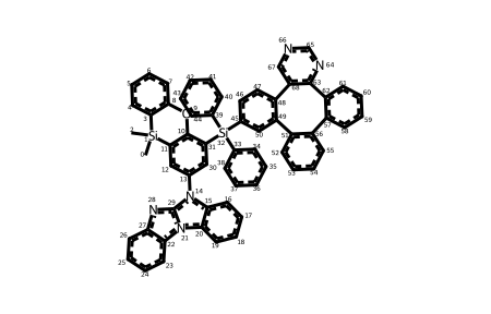 C[Si]1(C)c2ccccc2Oc2c1cc(-n1c3ccccc3n3c4ccccc4nc13)cc2[Si](c1ccccc1)(c1ccccc1)c1ccc2c(c1)-c1ccccc1-c1ccccc1-c1ncncc1-2